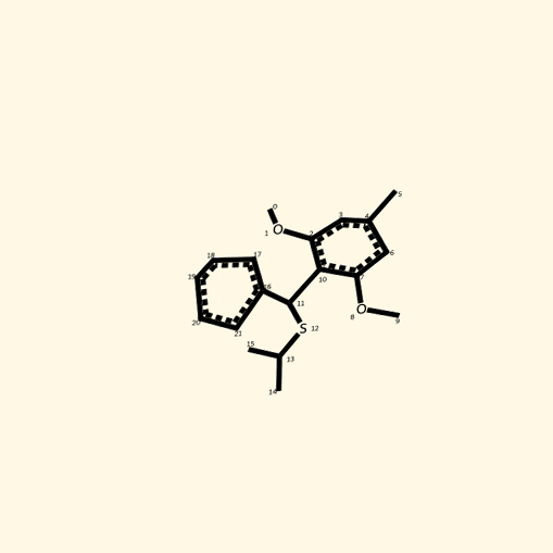 COc1cc(C)cc(OC)c1C(SC(C)C)c1ccccc1